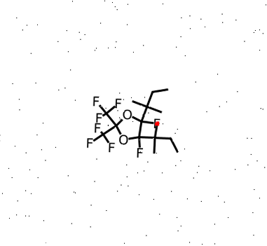 CCC(C)(C)C1(F)OC(C(F)(F)F)(C(F)(F)F)OC1(F)C(C)(C)CC